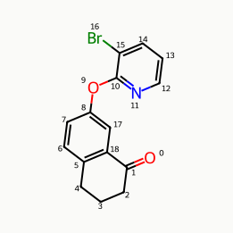 O=C1CCCc2ccc(Oc3ncccc3Br)cc21